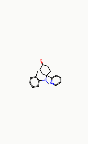 Cc1ccccc1N(C)C1(c2ccccn2)CCC(=O)CC1